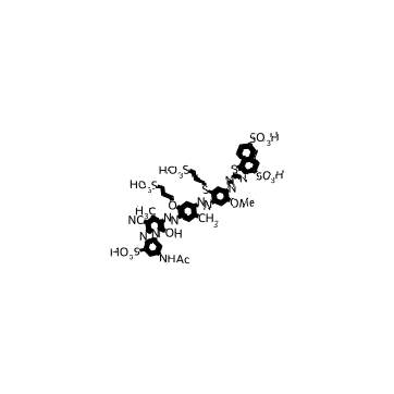 COc1cc(N=Nc2cc(OCCCS(=O)(=O)O)c(N=Nc3c(C)c(C#N)c4nc5c(S(=O)(=O)O)cc(NC(C)=O)cc5n4c3O)cc2C)c(SCCCS(=O)(=O)O)cc1N=Nc1nc2c(S(=O)(=O)O)cc3cc(S(=O)(=O)O)ccc3c2s1